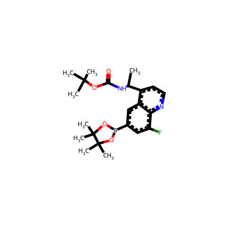 CC(NC(=O)OC(C)(C)C)c1ccnc2c(F)cc(B3OC(C)(C)C(C)(C)O3)cc12